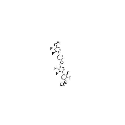 CCOc1ccc(-c2ccc(COC3CCC(c4ccc(OCC)c(F)c4F)CC3)c(F)c2F)c(F)c1F